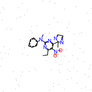 CCc1nc(N(C)c2ccccc2)nc(C2(C)N=CC=N2)c1[N+](=O)[O-]